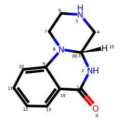 O=C1N[C@H]2CNCCN2c2ccccc21